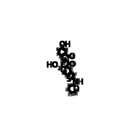 O=C1c2cc(O)ccc2CN1C(=O)C1(C(=O)O)Cc2cc(NC3CCCCO3)sc2CO1